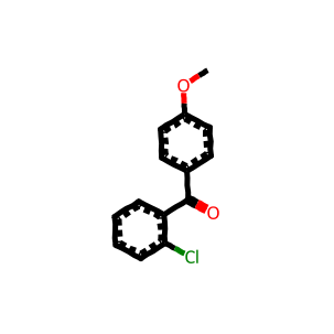 COc1ccc(C(=O)c2ccccc2Cl)cc1